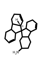 NC1CCC2C3C=CCCC3C3(C4C=CCCC4C4CCC=C[C@@H]43)C2C1